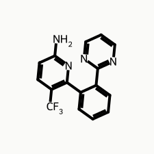 Nc1ccc(C(F)(F)F)c(-c2ccccc2-c2ncccn2)n1